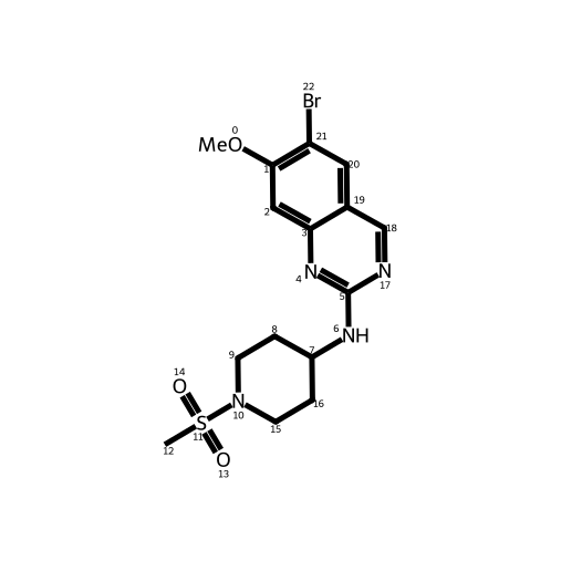 COc1cc2nc(NC3CCN(S(C)(=O)=O)CC3)ncc2cc1Br